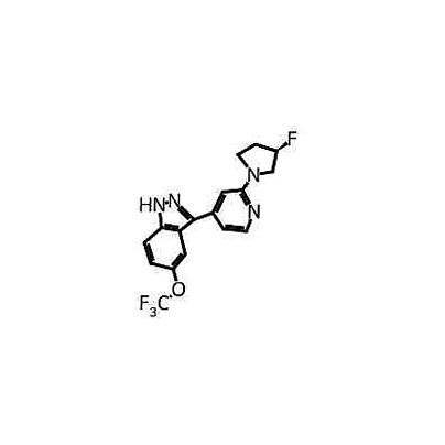 F[C@@H]1CCN(c2cc(-c3n[nH]c4ccc(OC(F)(F)F)cc34)ccn2)C1